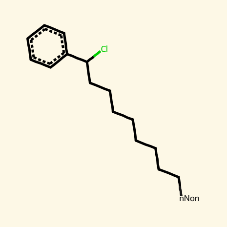 CCCCCCCCCCCCCCCCCC(Cl)c1ccccc1